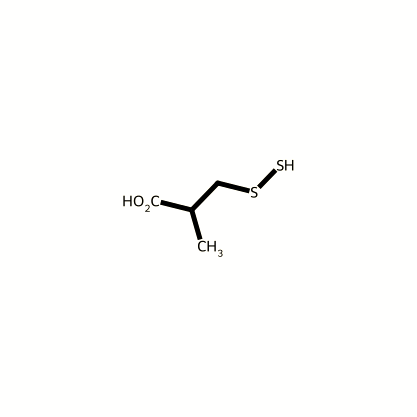 CC(CSS)C(=O)O